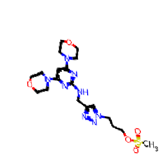 CS(=O)(=O)OCCCn1cc(CNc2nc(N3CCOCC3)cc(N3CCOCC3)n2)nn1